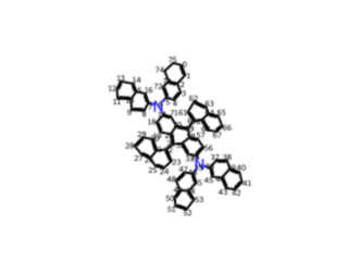 C1=Cc2ccc(N(c3ccc4ccccc4c3)c3ccc4c(-c5cccc6ccccc56)c5cc(N(c6ccc7ccccc7c6)c6ccc7ccccc7c6)ccc5c(-c5cccc6ccccc56)c4c3)cc2CC1